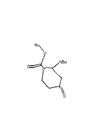 CCCCC1CC(=O)CCN1C(=O)OC(C)(C)C